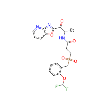 CC[C@H](NC(=O)CCS(=O)(=O)Cc1ccccc1OC(F)F)C(=O)c1nc2ncccc2o1